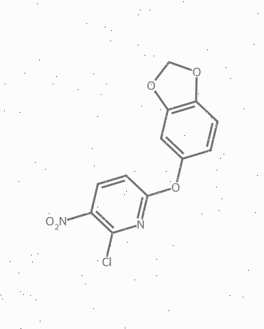 O=[N+]([O-])c1ccc(Oc2ccc3c(c2)OCO3)nc1Cl